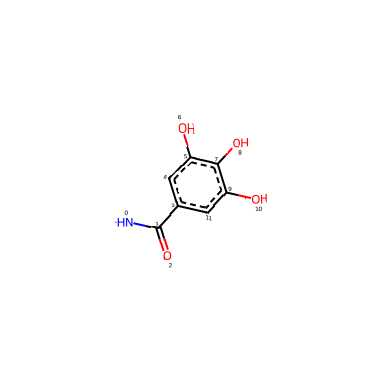 [NH]C(=O)c1cc(O)c(O)c(O)c1